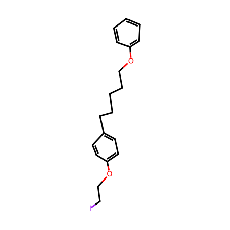 ICCOc1ccc(CCCCCOc2ccccc2)cc1